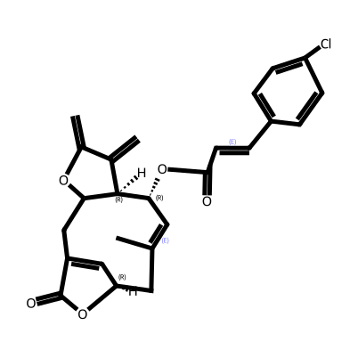 C=C1OC2CC3=C[C@@H](C/C(C)=C/[C@@H](OC(=O)/C=C/c4ccc(Cl)cc4)[C@@H]2C1=C)OC3=O